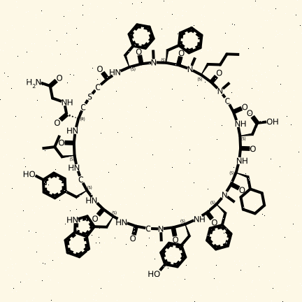 CCCC[C@H]1C(=O)N(C)CC(=O)N[C@@H](CC(=O)O)C(=O)N[C@@H](CC2CCCCC2)C(=O)N(C)[C@@H](Cc2ccccc2)C(=O)N[C@@H](Cc2ccc(O)cc2)C(=O)N(C)CC(=O)N[C@@H](Cc2c[nH]c3ccccc23)C(=O)N[C@@H](Cc2ccc(O)cc2)CN[C@@H](CC(C)C)C(=O)N[C@H](C(=O)NCC(N)=O)CSCC(=O)N[C@@H](Cc2ccccc2)C(=O)N(C)[C@@H](Cc2ccccc2)C(=O)N1C